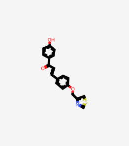 O=C(/C=C/c1ccc(OCc2cscn2)cc1)c1ccc(O)cc1